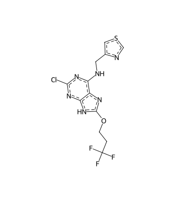 FC(F)(F)CCOc1nc2c(NCc3cscn3)nc(Cl)nc2[nH]1